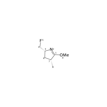 COC1=N[C@@H](CF)C[C@H]1C